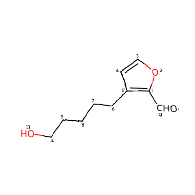 O=[C]c1occc1CCCCCO